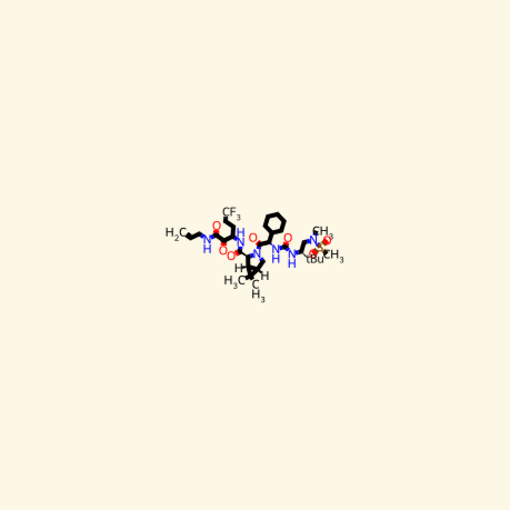 C=CCNC(=O)C(=O)C(CCC(F)(F)F)NC(=O)[C@@H]1[C@@H]2[C@H](CN1C(=O)[C@@H](NC(=O)N[C@H](CN(C)S(C)(=O)=O)C(C)(C)C)C1CCCCC1)C2(C)C